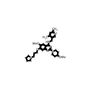 COc1cc2c(NCc3cnc(C)cc3C)nc(N3CCC(OC)CC3)nc2cc1OCCCN1CCCC1